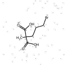 CC(CCCBr)(C(=O)O)C(=O)O